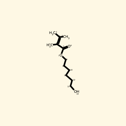 CC(C)=C(C)C(=O)OCCCCCCO